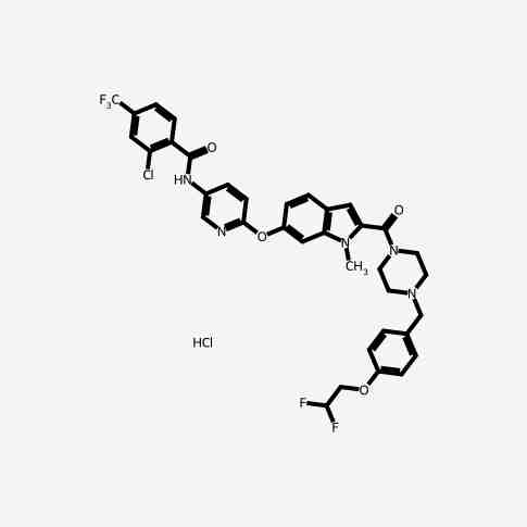 Cl.Cn1c(C(=O)N2CCN(Cc3ccc(OCC(F)F)cc3)CC2)cc2ccc(Oc3ccc(NC(=O)c4ccc(C(F)(F)F)cc4Cl)cn3)cc21